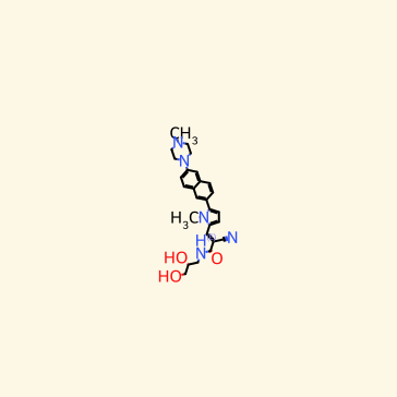 CN1CCN(c2ccc3cc(-c4ccc(/C=C(\C#N)C(=O)NCC(O)CO)n4C)ccc3c2)CC1